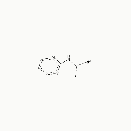 CC(C)C(C)Nc1n[c]ccn1